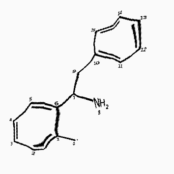 [CH2]c1ccccc1C(N)Cc1ccccc1